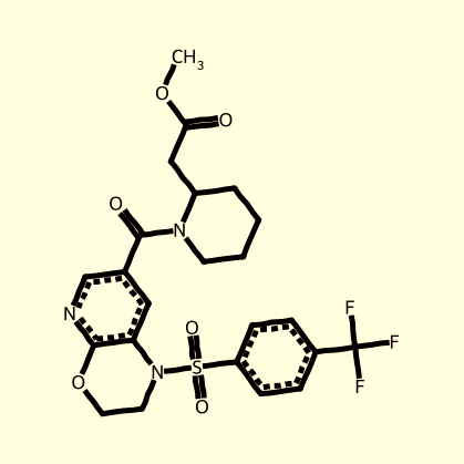 COC(=O)CC1CCCCN1C(=O)c1cnc2c(c1)N(S(=O)(=O)c1ccc(C(F)(F)F)cc1)CCO2